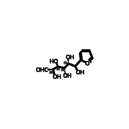 O=C[C@H](O)[C@@H](O)[C@@H](O)[C@H](O)C(O)c1cccc[o+]1